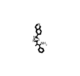 CC(c1nnc(-c2ccc3cnccc3c2)s1)C(N)c1ccccc1